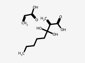 C=C(C(=O)O)C(O)(O)CCCCC.C=CC(=O)O